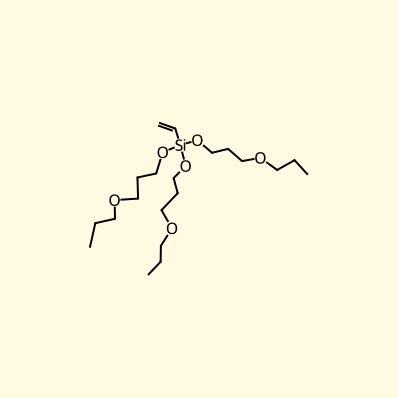 C=C[Si](OCCCOCCC)(OCCCOCCC)OCCCOCCC